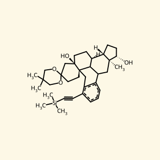 CC1(C)COC2(CC[C@@]34Cc5c(C#C[Si](C)(C)C)cccc5C5C[C@]6(C)[C@@H](O)CC[C@H]6[C@H](CC[C@@]3(O)C2)C54)OC1